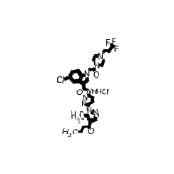 CCCC(=O)c1cnn(-c2ccc(NC(=O)c3cn(CC(=O)N4CCN(CCC(F)(F)F)CC4)c4ccc(Cl)cc34)nn2)c1C.Cl